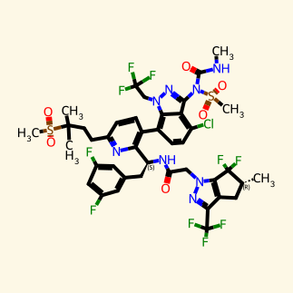 CNC(=O)N(c1nn(CC(F)(F)F)c2c(-c3ccc(CCC(C)(C)S(C)(=O)=O)nc3[C@H](Cc3cc(F)cc(F)c3)NC(=O)Cn3nc(C(F)(F)F)c4c3C(F)(F)[C@H](C)C4)ccc(Cl)c12)S(C)(=O)=O